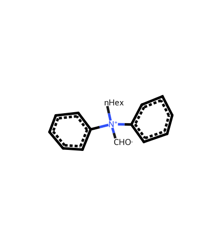 CCCCCC[N+]([C]=O)(c1ccccc1)c1ccccc1